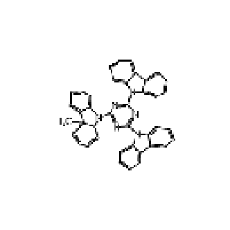 CC12C=CC=CC1N(c1nc(-n3c4ccccc4c4ccccc43)nc(-n3c4ccccc4c4ccccc43)n1)c1ccccc12